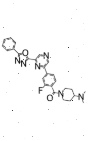 CN(C)C1CCN(C(=O)c2ccc(-c3cncc(-c4nnc(-c5ccccc5)o4)n3)cc2F)CC1